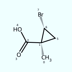 C[C@@]1(C(=O)O)C[C@H]1Br